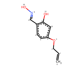 C=CCOc1ccc(C=NO)c(O)c1